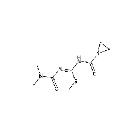 CSC(=NC(=O)N(C)C)NC(=O)N1CC1